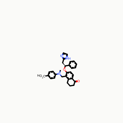 CN(Cc1c(O[C@@H](Cc2ncc[nH]2)c2ccccc2)ccc2c1CCCC2=O)c1ccc(C(=O)O)cc1